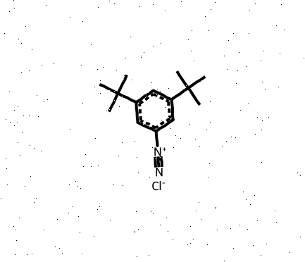 CC(C)(C)c1cc([N+]#N)cc(C(C)(C)C)c1.[Cl-]